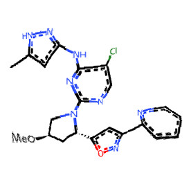 CO[C@@H]1C[C@@H](c2cc(-c3ccccn3)no2)N(c2ncc(Cl)c(Nc3cc(C)[nH]n3)n2)C1